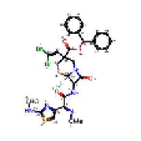 CON=C(C(=O)NC1C(=O)N2CC(C=C(Br)Br)(C(=O)OC(c3ccccc3)c3ccccc3)CS[C@H]12)c1csc(NC=O)n1